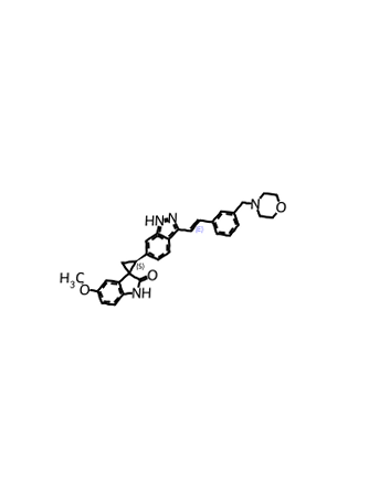 COc1ccc2c(c1)C1(C[C@H]1c1ccc3c(/C=C/c4cccc(CN5CCOCC5)c4)n[nH]c3c1)C(=O)N2